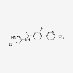 CC[C@H]1CC(NC(C)c2ccc(-c3ccc(C(F)(F)F)nc3)c(F)c2)=CN1